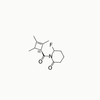 CC1=C(C)[C@@H](C(=O)N2C(=O)CCCC2F)C1C